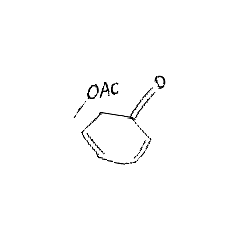 COC(C)=O.O=C1C=CC=CC1